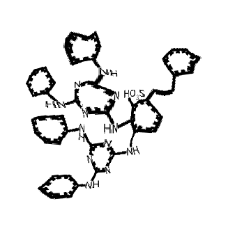 O=S(=O)(O)c1c(C=Cc2ccccc2)ccc(Nc2nc(Nc3ccccc3)nc(Nc3ccccc3)n2)c1Nc1nc(Nc2ccccc2)nc(Nc2ccccc2)n1